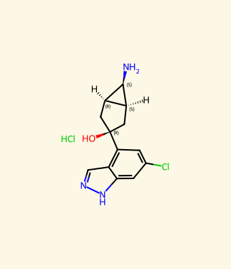 Cl.N[C@H]1[C@H]2C[C@](O)(c3cc(Cl)cc4[nH]ncc34)C[C@@H]12